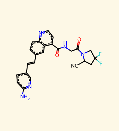 N#CC1CC(F)(F)CN1C(=O)CNC(=O)c1ccnc2ccc(C=Cc3ccc(N)nc3)cc12